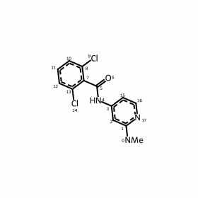 CNc1cc(NC(=O)c2c(Cl)cccc2Cl)ccn1